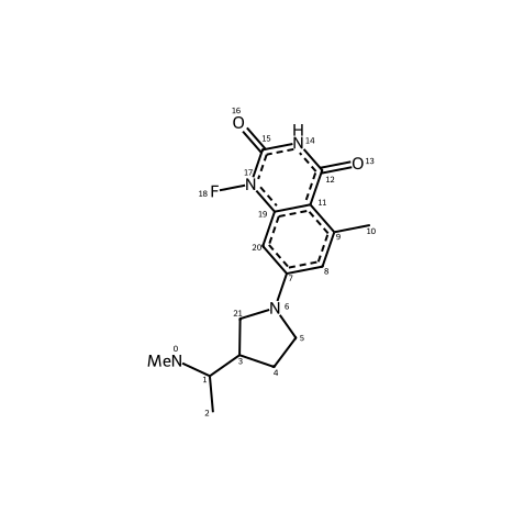 CNC(C)C1CCN(c2cc(C)c3c(=O)[nH]c(=O)n(F)c3c2)C1